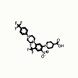 O=C(O)C1CCN(c2cc(N3CCN(c4ccc(C(F)(F)F)cc4)CC3)c(C(F)(F)F)cc2[N+](=O)[O-])CC1